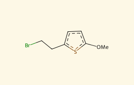 COc1ccc(CCBr)s1